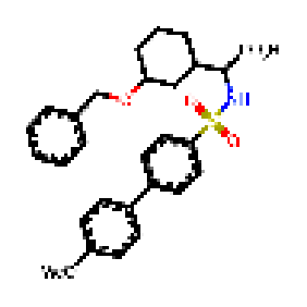 COc1ccc(-c2ccc(S(=O)(=O)NC(C(=O)O)C3CCCC(OCc4ccccc4)C3)cc2)cc1